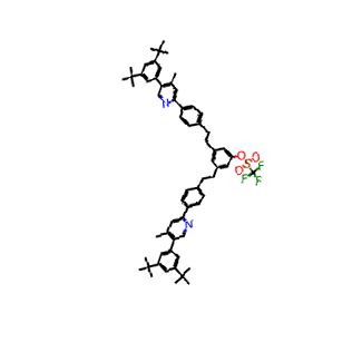 Cc1cc(-c2ccc(CCc3cc(CCc4ccc(-c5cc(C)c(-c6cc(C(C)(C)C)cc(C(C)(C)C)c6)cn5)cc4)cc(OS(=O)(=O)C(F)(F)F)c3)cc2)ncc1-c1cc(C(C)(C)C)cc(C(C)(C)C)c1